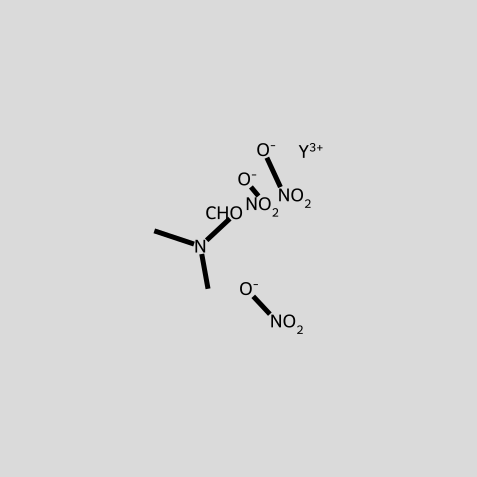 CN(C)C=O.O=[N+]([O-])[O-].O=[N+]([O-])[O-].O=[N+]([O-])[O-].[Y+3]